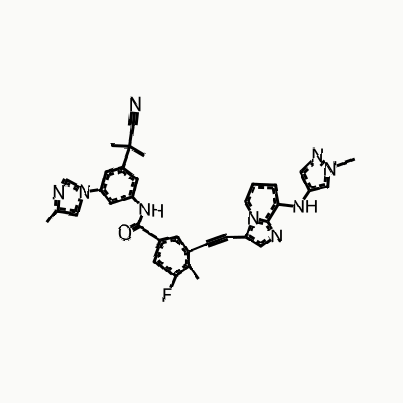 Cc1cn(-c2cc(NC(=O)c3cc(F)c(C)c(C#Cc4cnc5c(Nc6cnn(C)c6)cccn45)c3)cc(C(C)(C)C#N)c2)cn1